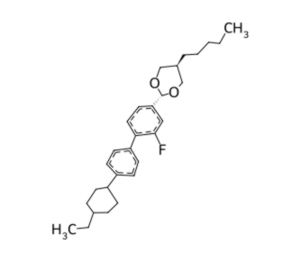 CCCCC[C@H]1CO[C@H](c2ccc(-c3ccc(C4CCC(CC)CC4)cc3)c(F)c2)OC1